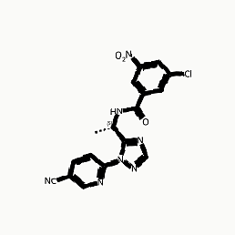 C[C@H](NC(=O)c1cc(Cl)cc([N+](=O)[O-])c1)c1ncnn1-c1ccc(C#N)cn1